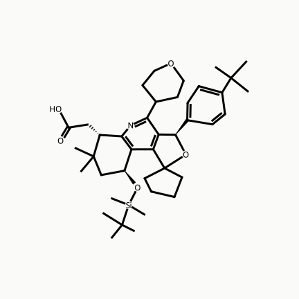 CC(C)(C)c1ccc([C@H]2OC3(CCCC3)c3c2c(C2CCOCC2)nc2c3[C@@H](O[Si](C)(C)C(C)(C)C)CC(C)(C)[C@@H]2CC(=O)O)cc1